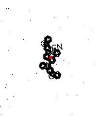 N#Cc1cccc(-c2ccc(-n3c4ccccc4c4cc5oc6ccccc6c5cc43)cc2)c1-n1c2ccccc2c2cc3oc4ccccc4c3cc21